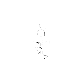 Cl.N[C@H]1CC[C@H](NC(=O)c2cn(C3CC3)nn2)CC1